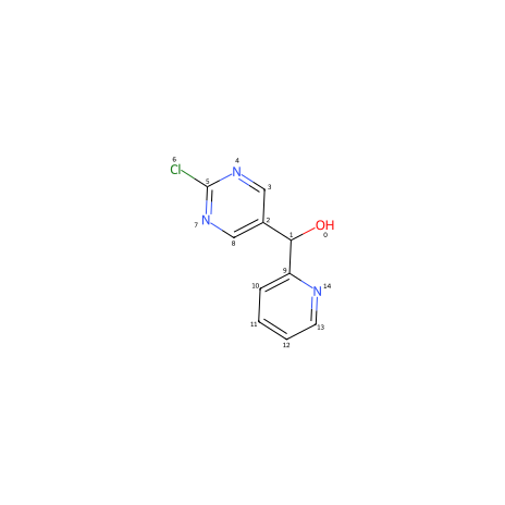 OC(c1cnc(Cl)nc1)c1ccccn1